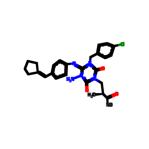 C[C@@H](Cn1c(=O)n(N)/c(=N\c2ccc(C=C3CCCC3)cc2)n(Cc2ccc(Cl)cc2)c1=O)C(=O)N=O